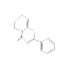 O=C1C=C(c2ccccc2)OC2=CCCCC12